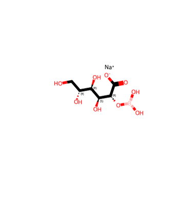 O=C([O-])[C@H](OB(O)O)[C@@H](O)[C@H](O)[C@H](O)CO.[Na+]